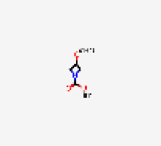 CC(C)OC(=O)N1CC(OC=O)C1